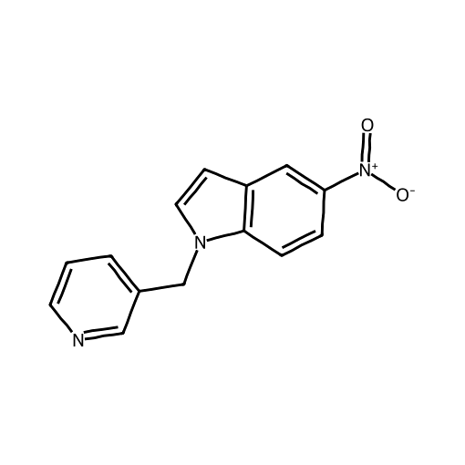 O=[N+]([O-])c1ccc2c(ccn2Cc2cccnc2)c1